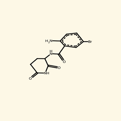 Nc1ccc(Br)cc1C(=O)NC1CCC(=O)NC1=O